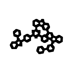 c1ccc(-c2cccc(-n3c4ccccc4c4cc(-c5ccc6oc7cccc(-c8nc(-c9ccccc9)nc(-c9ccc(-c%10nc%11ccccc%11n%10-c%10ccccc%10)cc9)n8)c7c6c5)ccc43)c2)cc1